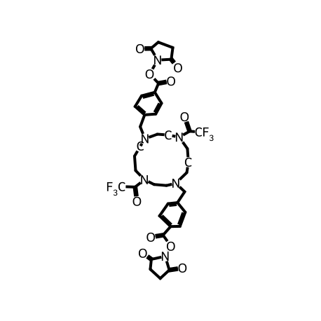 O=C(ON1C(=O)CCC1=O)c1ccc(CN2CCCN(C(=O)C(F)(F)F)CCN(Cc3ccc(C(=O)ON4C(=O)CCC4=O)cc3)CCCN(C(=O)C(F)(F)F)CC2)cc1